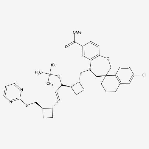 COC(=O)c1ccc2c(c1)N(C[C@@H]1CC[C@H]1C(/C=C/[C@@H]1CC[C@H]1CSc1ncccn1)O[Si](C)(C)C(C)(C)C)C[C@@]1(CCCc3cc(Cl)ccc31)CO2